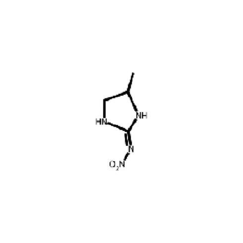 CC1CNC(=N[N+](=O)[O-])N1